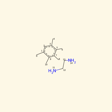 Cc1cc(C)c(C)c(C)c1C.NCCN